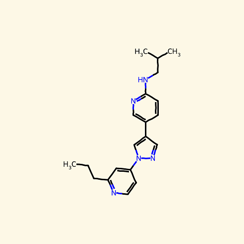 CCCc1cc(-n2cc(-c3ccc(NCC(C)C)nc3)cn2)ccn1